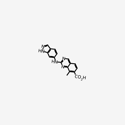 Cc1c(C(=O)O)ccc2cnc(Nc3ccc4cn[nH]c4c3)nc12